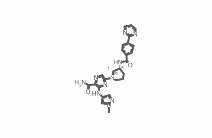 C[C@@H]1[C@H](NC(=O)c2ccc(-c3ncccn3)cc2)CCCN1c1cnc(C(N)=O)c(Nc2cnn(C)c2)n1